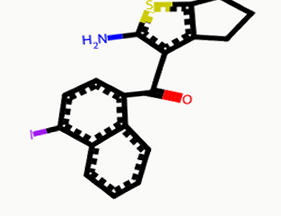 Nc1sc2c(c1C(=O)c1ccc(I)c3ccccc13)CCC2